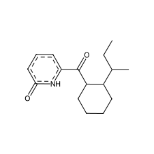 CCC(C)C1CCCCC1C(=O)c1cccc(=O)[nH]1